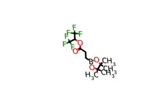 CC1(C)OB(CCC(=O)OC(C(F)(F)F)C(F)(F)F)OC1(C)C